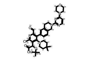 CC1(C)CCN(c2c(-c3ccc4c(c3)CCN(c3nccc(N5CCOCC5)n3)C4)c(C=O)nc(Cl)c2C(OC(C)(C)C)C(=O)O)CC1